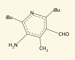 CCC(C)c1nc(C(C)CC)c(C=O)c(C)c1N